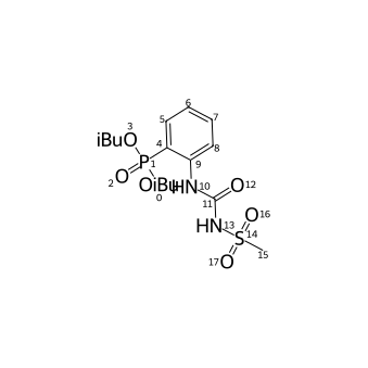 CC(C)COP(=O)(OCC(C)C)c1ccccc1NC(=O)NS(C)(=O)=O